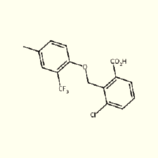 Cc1ccc(OCc2c(Cl)cccc2C(=O)O)c(C(F)(F)F)c1